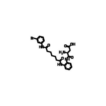 N[C@@H](CC(=O)O)C(=O)Nc1ccccc1NC(=O)CCCCCC(=O)Nc1cccc(Br)c1